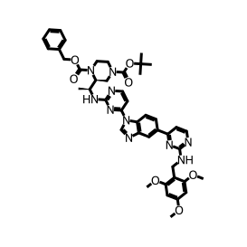 COc1cc(OC)c(CNc2nccc(-c3ccc4c(c3)ncn4-c3ccnc(N[C@@H](C)[C@@H]4CN(C(=O)OC(C)(C)C)CCN4C(=O)OCc4ccccc4)n3)n2)c(OC)c1